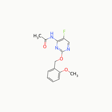 COc1ccccc1COc1ncc(F)c(NC(C)=O)n1